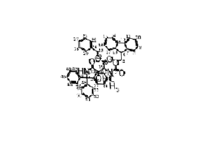 CN(C(=O)OCC1c2ccccc2-c2ccccc21)[C@H](C(=O)OCc1ccccc1)[C@@H](O)C(=O)NC(c1ccccc1)(c1ccccc1)c1ccccc1